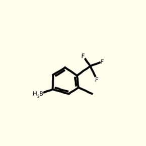 Bc1ccc(C(F)(F)F)c(C)c1